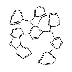 c1ccc(N(c2cccc(-c3cccnc3)c2)c2ccc(-c3cccc4oc5ccccc5c34)c3c2c2ccccc2n3-c2ccccc2)cc1